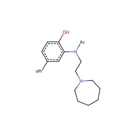 CCCc1ccc(O)c(N(CCN2CCCCCC2)C(C)=O)c1